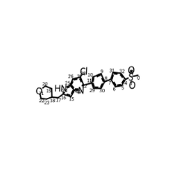 CS(=O)(=O)c1ccc(-c2ccc(-c3nc4cc(CC5CCOCC5)[nH]c4cc3Cl)cc2)cc1